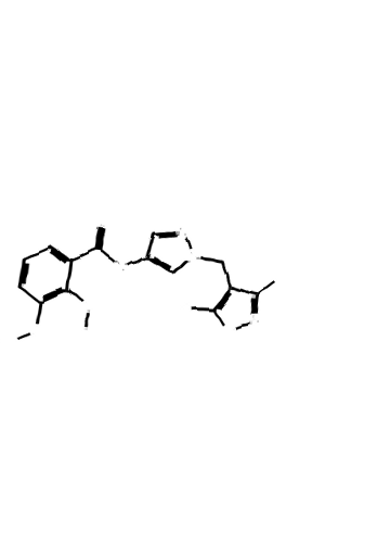 COc1cccc(C(=O)Nc2cnn(Cc3c(C)noc3C)c2)c1OC